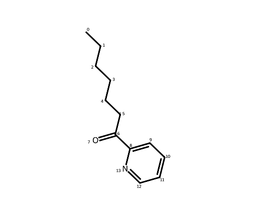 CCCCC[CH]C(=O)c1ccccn1